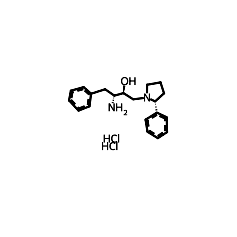 Cl.Cl.N[C@H](Cc1ccccc1)[C@@H](O)CN1CCC[C@@H]1c1ccccc1